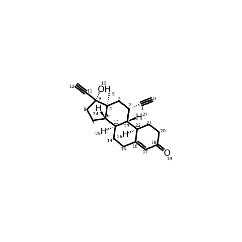 C#C[C@H]1C[C@@]2(C)[C@@H](CC[C@@]2(O)C#C)[C@@H]2CCC3=CC(=O)CC[C@@H]3[C@H]21